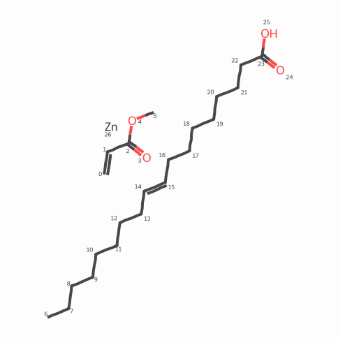 C=CC(=O)OC.CCCCCCCC/C=C/CCCCCCCC(=O)O.[Zn]